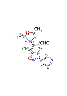 C[C@@H]1CN(c2c(C=O)cc3c(-c4ccnnc4)noc3c2Cl)C[C@H](C)O1